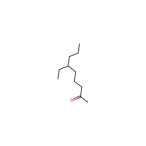 CCCC(CC)CCCC(C)=O